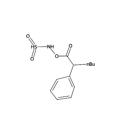 CCCCC(C(=O)ON[SH](=O)=O)c1ccccc1